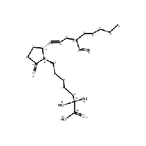 C=C[C@@H](CC=C[C@H]1CCC(=O)[C@@H]1CCCCCC(O)(O)C(=O)O)CCCCC